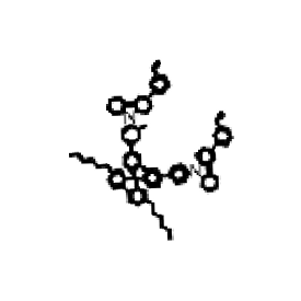 C=Cc1cccc(-c2ccc3c(c2)c2ccccc2n3C2=CC=C(c3ccc4c(c3)-c3cc(-c5ccc(-n6c7ccccc7c7cc(-c8cccc(C=C)c8)ccc76)cc5)ccc3C43c4cc(CCCCCC)ccc4-c4ccc(CCCCCC)cc43)CC2C)c1